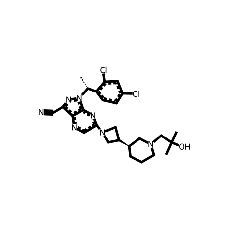 C[C@H](c1ccc(Cl)cc1Cl)n1nc(C#N)c2ncc(N3CC([C@@H]4CCCN(CC(C)(C)O)C4)C3)nc21